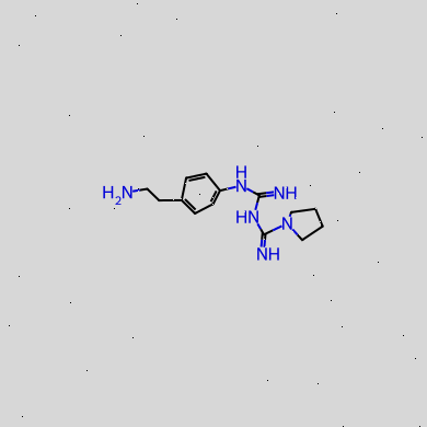 N=C(NC(=N)N1CCCC1)Nc1ccc(CCN)cc1